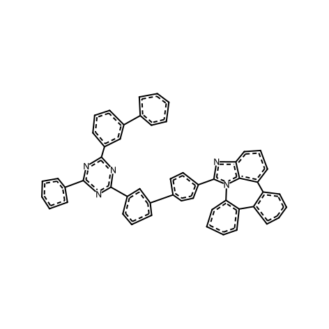 c1ccc(-c2cccc(-c3nc(-c4ccccc4)nc(-c4cccc(-c5ccc(-c6nc7cccc8c7n6-c6ccccc6-c6ccccc6-8)cc5)c4)n3)c2)cc1